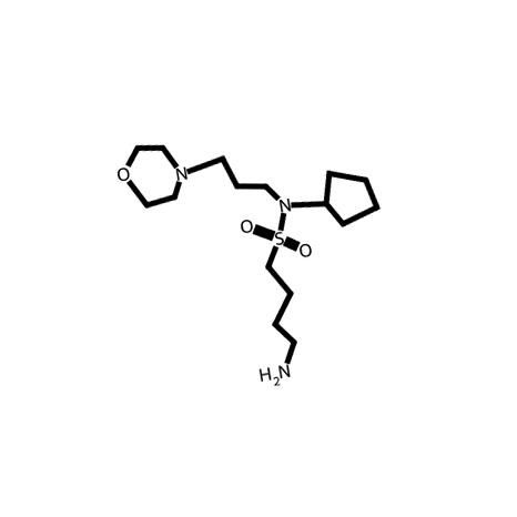 NCCCCS(=O)(=O)N(CCCN1CCOCC1)C1CCCC1